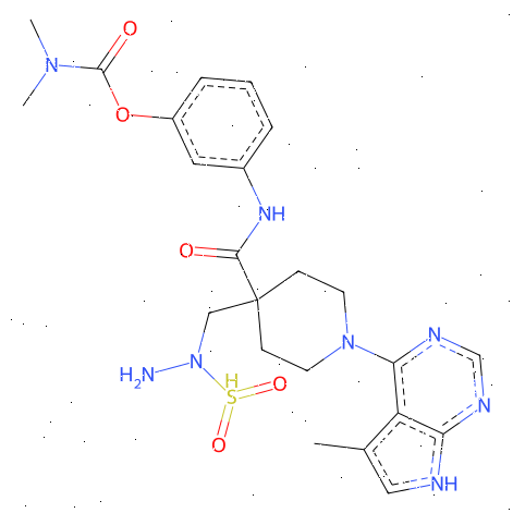 Cc1c[nH]c2ncnc(N3CCC(CN(N)[SH](=O)=O)(C(=O)Nc4cccc(OC(=O)N(C)C)c4)CC3)c12